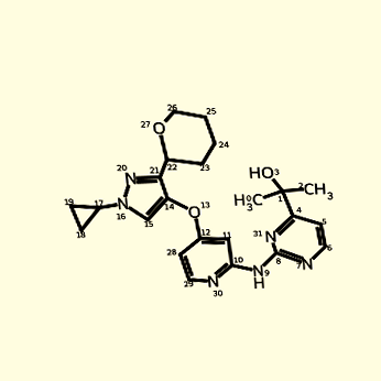 CC(C)(O)c1ccnc(Nc2cc(Oc3cn(C4CC4)nc3C3CCCCO3)ccn2)n1